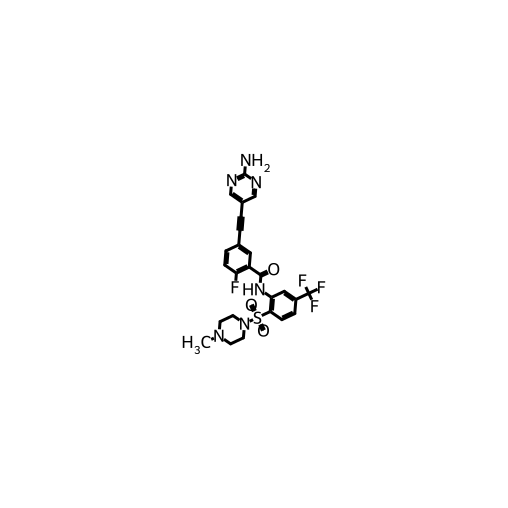 CN1CCN(S(=O)(=O)c2ccc(C(F)(F)F)cc2NC(=O)c2cc(C#Cc3cnc(N)nc3)ccc2F)CC1